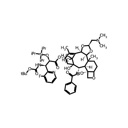 CC(=O)O[C@@]12COC1CC[C@@]1(C)[C@@H]3O[C@H](CN(C)C)O[C@@H]3C3=C(C)[C@@H](OC(=O)[C@H](O[Si](C(C)C)(C(C)C)C(C)C)[C@H](NC(=O)OC(C)(C)C)c4ncccc4F)C[C@@](O)([C@@H](OC(=O)c4ccccc4)[C@@H]12)C3(C)C